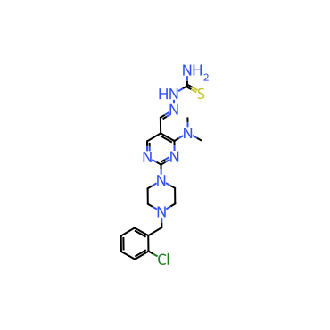 CN(C)c1nc(N2CCN(Cc3ccccc3Cl)CC2)ncc1/C=N/NC(N)=S